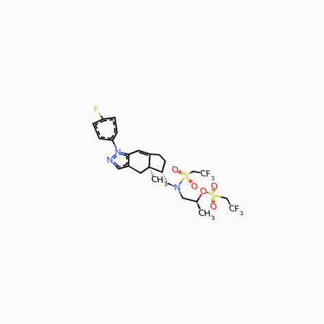 C[C@@H](CN(C[C@H]1CCC2=Cc3c(cnn3-c3ccc(F)cc3)C[C@@]21C)S(=O)(=O)CC(F)(F)F)OS(=O)(=O)CC(F)(F)F